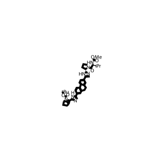 COC(=O)N[C@H](C(=O)N1CCC[C@H]1c1ncc(-c2ccc3c(c2)CCc2cc(-c4cnc(C5C6CCC(C6)N5C(=O)OC(C)(C)C)[nH]4)ccc2-3)[nH]1)C(C)C